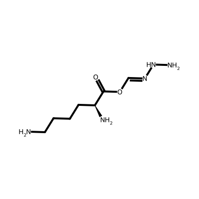 NCCCC[C@H](N)C(=O)OC=NNN